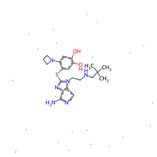 CC(C)(C)CNCCn1c(Sc2cc(O)c(O)cc2N2CCC2)nc2c(N)nccc21